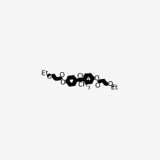 CCO/C=C/C(=O)Oc1ccc(C(C)(C)c2ccc(OC(=O)/C=C/OCC)cc2)cc1